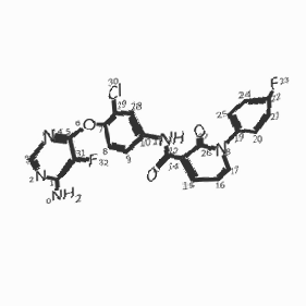 Nc1ncnc(Oc2ccc(NC(=O)c3cccn(-c4ccc(F)cc4)c3=O)cc2Cl)c1F